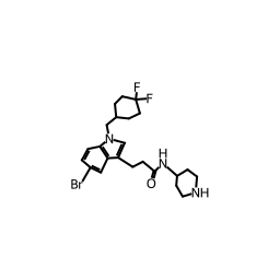 O=C(CCc1cn(CC2CCC(F)(F)CC2)c2ccc(Br)cc12)NC1CCNCC1